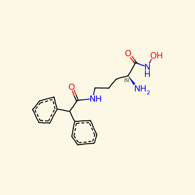 N[C@@H](CCCNC(=O)C(c1ccccc1)c1ccccc1)C(=O)NO